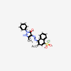 CC(=O)Oc1cc(S(=O)(=O)Cl)c2ccccc2c1N=Nc1c(C)[nH]n(-c2ccccc2)c1=O